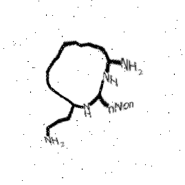 CCCCCCCCCC1NC(N)CCCCCCCCC(CCN)N1